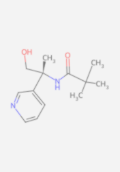 CC(C)(C)C(=O)N[C@@](C)(CO)c1cccnc1